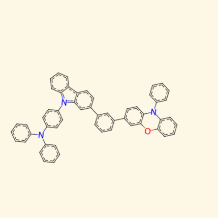 c1ccc(N(c2ccccc2)c2ccc(-n3c4ccccc4c4ccc(-c5cccc(-c6ccc7c(c6)Oc6ccccc6N7c6ccccc6)c5)cc43)cc2)cc1